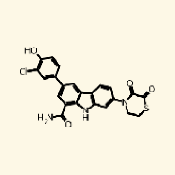 NC(=O)c1cc(-c2ccc(O)c(Cl)c2)cc2c1[nH]c1cc(N3CCSC(=O)C3=O)ccc12